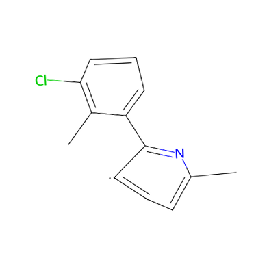 Cc1cc[c]c(-c2cccc(Cl)c2C)n1